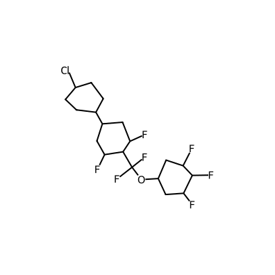 FC1CC(OC(F)(F)C2C(F)CC(C3CCC(Cl)CC3)CC2F)CC(F)C1F